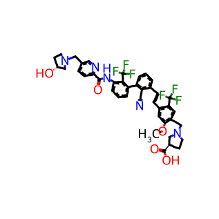 COc1cc(/C=C/c2cccc(-c3cccc(NC(=O)c4ccc(CN5CC[C@@H](O)C5)cn4)c3C(F)(F)F)c2C#N)c(C(F)(F)F)cc1CN1CC[C@@H](C(=O)O)C1